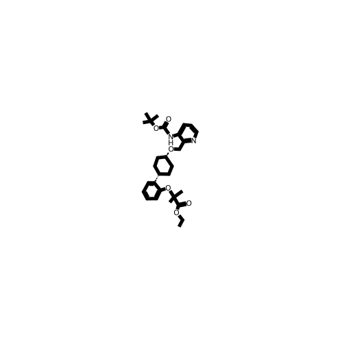 CCOC(=O)C(C)(C)Oc1ccccc1[C@H]1CC[C@@H](OCc2ncccc2NC(=O)OC(C)(C)C)CC1